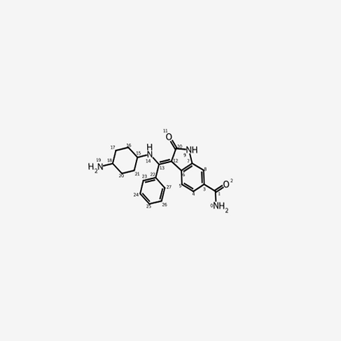 NC(=O)c1ccc2c(c1)NC(=O)/C2=C(\NC1CCC(N)CC1)c1ccccc1